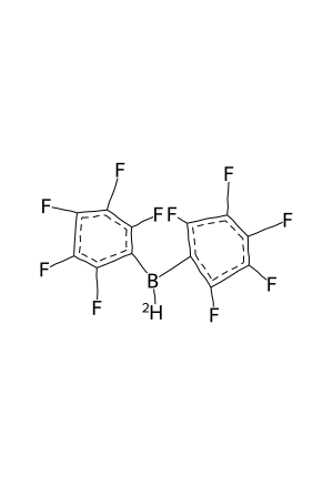 [2H]B(c1c(F)c(F)c(F)c(F)c1F)c1c(F)c(F)c(F)c(F)c1F